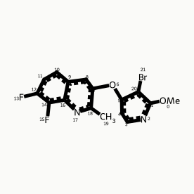 COc1nccc(Oc2cc3ccc(F)c(F)c3nc2C)c1Br